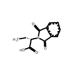 CC[C@@H](C(=O)O)N1C(=O)c2ccccc2C1=O